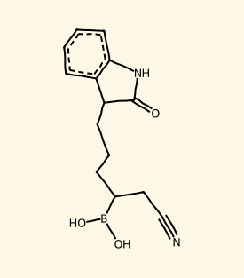 N#CCC(CCCC1C(=O)Nc2ccccc21)B(O)O